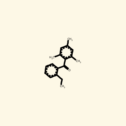 CCc1ccc[c]c1C(=O)c1c(C)cc(C)cc1C